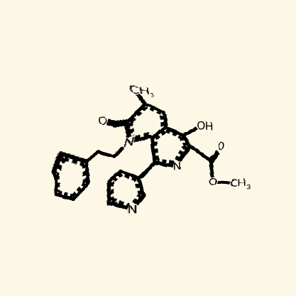 COC(=O)c1nc(-c2cccnc2)c2c(cc(C)c(=O)n2CCc2ccccc2)c1O